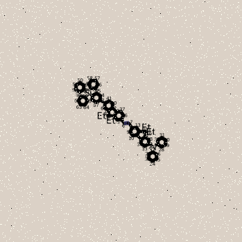 CCC1(CC)c2cc(/C=C/c3ccc4c(c3)C(CC)(CC)c3cc(N(c5ccccc5)c5ccccc5)ccc3-4)ccc2-c2ccc(-c3ccc([Si](c4ccccc4)(c4ccccc4)c4ccccc4)cc3)cc21